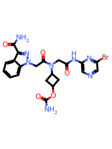 NC(=O)OC1CC(N(CC(=O)Nc2cncc(Br)n2)C(=O)Cn2nc(C(N)=O)c3ccccc32)C1